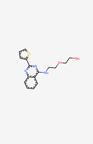 OCCOCCNc1nc(-c2cccs2)nc2ccccc12